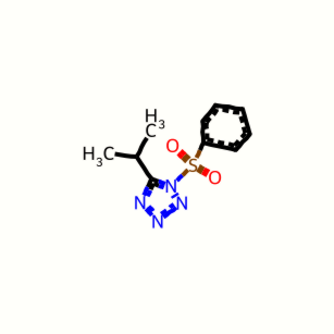 CC(C)c1nnnn1S(=O)(=O)c1ccccc1